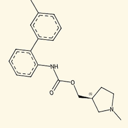 Cc1cccc(-c2ccccc2NC(=O)OC[C@H]2CCN(C)C2)c1